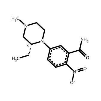 CC[C@@H]1CN(C)CCN1c1ccc([N+](=O)[O-])c(C(N)=O)c1